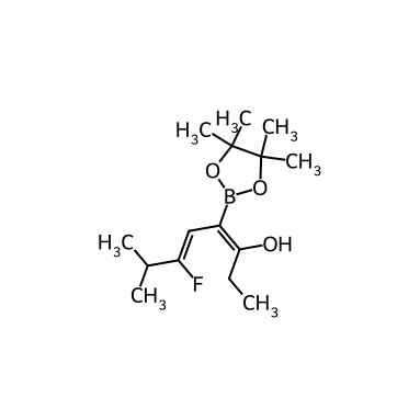 CC/C(O)=C(\C=C(/F)C(C)C)B1OC(C)(C)C(C)(C)O1